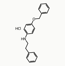 Cl.c1ccc(CCNc2ccc(OCc3ccccc3)cc2)cc1